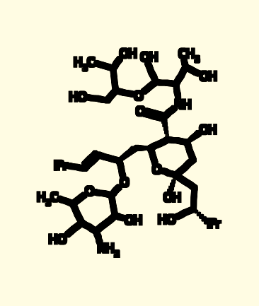 CC(C)/C=C/[C@@H](C[C@@H]1O[C@](O)(C[C@@H](O)C(C)C)C[C@H](O)[C@H]1C(=O)NC(C(C)O)C(O)OC(CO)C(C)O)OC1OC(C)C(O)C(N)C1O